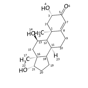 C[C@]12C[C@H](O)C(=O)C=C1CC[C@@H]1C2[C@H](O)C[C@@]2(C)C1CC[C@@H]2O